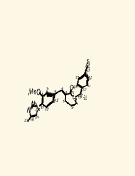 COc1cc(C=C2CCCN([C@@H](C)c3ccc(F)cc3)C2=O)ccc1-n1cc(C)nn1